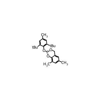 Cc1cc(C)c2c(c1)COP(Oc1c(C(C)(C)C)cc(C)cc1C(C)(C)C)O2